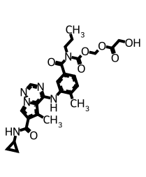 CCCN(C(=O)OCOC(=O)CO)C(=O)c1ccc(C)c(Nc2ncnn3cc(C(=O)NC4CC4)c(C)c23)c1